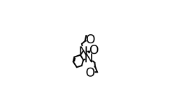 O=C1N(CC2CO2)C2C=CCCC2N1CC1CO1